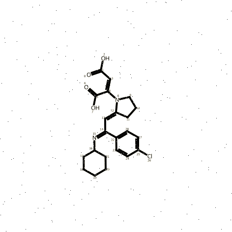 O=C(O)C=C(C(=O)O)N1CCCC1=CC(=NC1CCCCC1)c1ccc(Cl)cc1